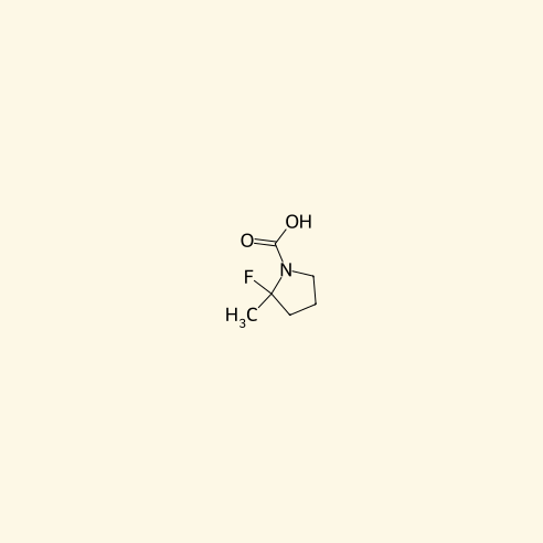 CC1(F)CCCN1C(=O)O